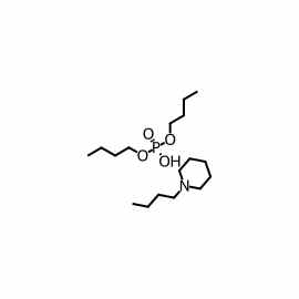 CCCCN1CCCCC1.CCCCOP(=O)(O)OCCCC